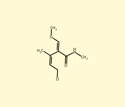 CNC(=O)C(=C/OC)/C(C)=C\CCl